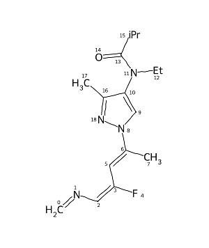 C=N/C=C(F)\C=C(/C)n1cc(N(CC)C(=O)C(C)C)c(C)n1